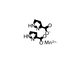 O=C([O-])c1cc[nH]n1.O=C([O-])c1cc[nH]n1.[Mn+2]